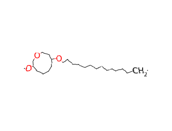 [CH2]CCCCCCCCCCCCCOC1CCCCC([O])COCC1